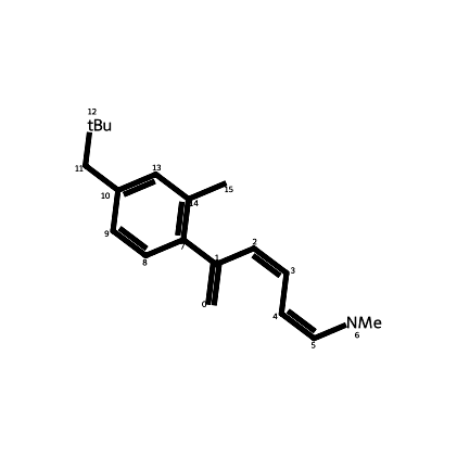 C=C(/C=C\C=C/NC)c1ccc(CC(C)(C)C)cc1C